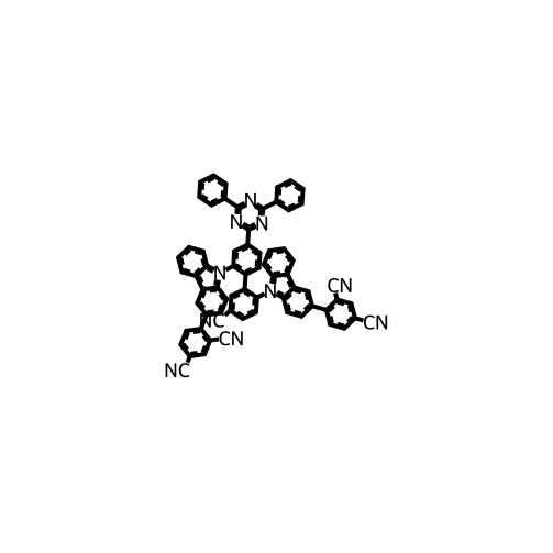 N#Cc1ccc(-c2ccc3c(c2)c2ccccc2n3-c2ccc(C#N)cc2-c2ccc(-c3nc(-c4ccccc4)nc(-c4ccccc4)n3)cc2-n2c3ccccc3c3cc(-c4ccc(C#N)cc4C#N)ccc32)c(C#N)c1